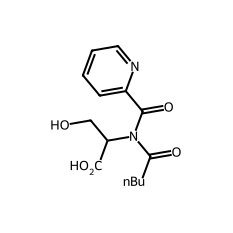 CCCCC(=O)N(C(=O)c1ccccn1)C(CO)C(=O)O